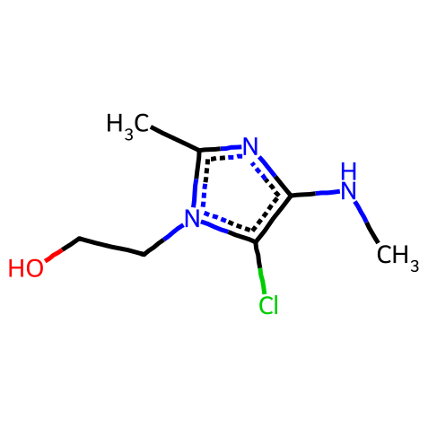 CNc1nc(C)n(CCO)c1Cl